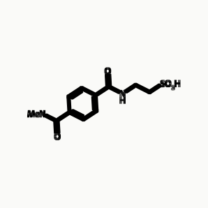 CNC(=O)c1ccc(C(=O)NCCS(=O)(=O)O)cc1